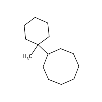 CC1([C]2CCCCCCC2)CCCCC1